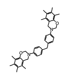 Cc1c(C)c(C)c2c(c1C)CN(c1ccc(Cc3ccc(N4COc5c(C)c(C)c(C)c(C)c5C4)cc3)cc1)CO2